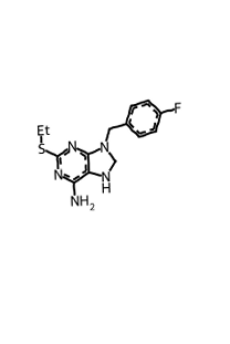 CCSc1nc(N)c2c(n1)N(Cc1ccc(F)cc1)CN2